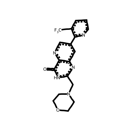 O=c1[nH]c(CN2CCOCC2)nc2cc(-c3ncccc3C(F)(F)F)cnc12